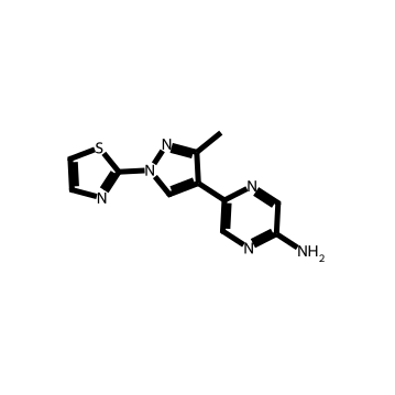 Cc1nn(-c2nccs2)cc1-c1cnc(N)cn1